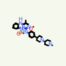 COc1cc(C2CCN(C3CCN(C)CC3)CC2)ccc1Nc1ncc(C)c(Nc2ccccc2N[S+](C)[O-])n1